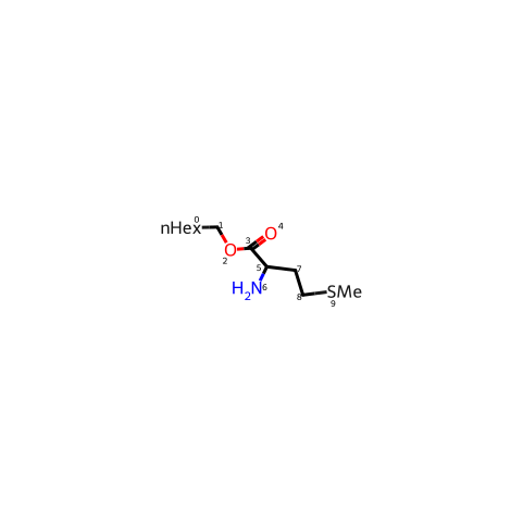 CCCCCCCOC(=O)C(N)CCSC